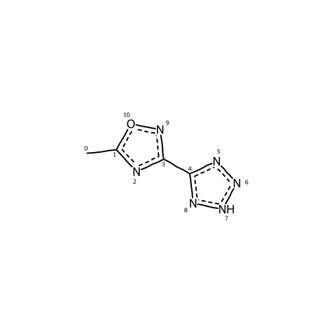 Cc1nc(-c2nn[nH]n2)no1